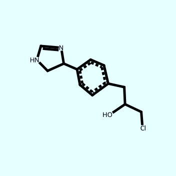 OC(CCl)Cc1ccc(C2CNC=N2)cc1